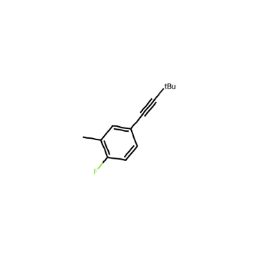 Cc1cc(C#CC(C)(C)C)ccc1F